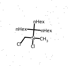 CCCCCCC(CCCCCC)(CCCCCC)[Si](C)(Cl)CCl